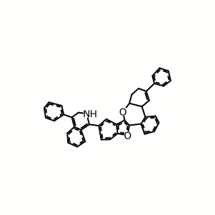 C1=C(c2ccccc2)CCC2Oc3c(oc4ccc(C5=c6ccccc6=C(c6ccccc6)CN5)cc34)-c3ccccc3C12